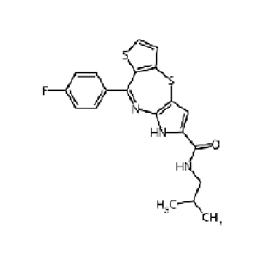 CC(C)CNC(=O)c1cc2c([nH]1)N=C(c1ccc(F)cc1)c1sccc1S2